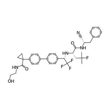 CC(C)(F)C[C@H](N[C@@H](c1ccc(-c2ccc(C3(C(=O)NCCO)CC3)cc2)cc1)C(F)(F)F)C(=O)N[C@H](C#N)Cc1ccccc1